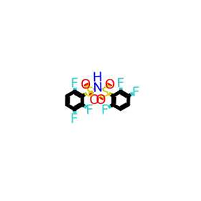 O=S(=O)(NS(=O)(=O)c1c(F)ccc(F)c1F)c1c(F)ccc(F)c1F